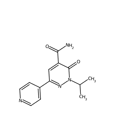 CC(C)n1nc(-c2ccncc2)cc(C(N)=O)c1=O